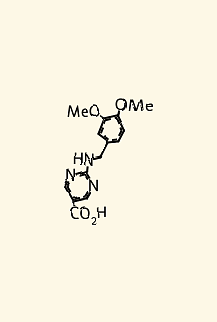 COc1ccc(CNc2ncc(C(=O)O)cn2)cc1OC